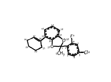 CC1(c2ccc(Cl)cc2F)Oc2cccc(C3=CCCCC3)c2O1